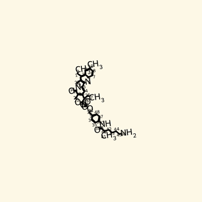 CCc1c2c(nc3ccc(C)cc13)-c1cc3c(c(=O)n1C2)COC(=O)C3(CC)OC(=O)OCc1ccc(NC(=O)C(C)CCCCN)cc1